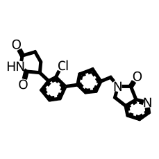 O=C1CCC(c2cccc(-c3ccc(CN4Cc5cccnc5C4=O)cc3)c2Cl)C(=O)N1